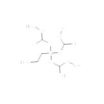 CCC[Si](OC(C)OC)(OC(C)OC)OC(C)OC